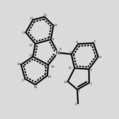 CC1=Cc2cccc(-n3c4ccccc4c4ccccc43)c2C1